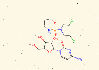 Nc1ccn([C@@H]2O[C@H](CO)[C@@H](O)[C@@H]2O)c(=O)n1.O=P1(N(CCCl)CCCl)NCCCO1